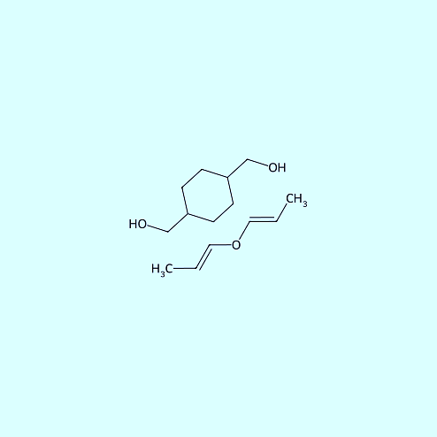 CC=COC=CC.OCC1CCC(CO)CC1